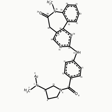 CC(=O)N(C)C1CCN(C(=O)c2ccc(Nc3ncc4c(n3)-c3ccccc3N(C)C(=O)C4)cc2)C1